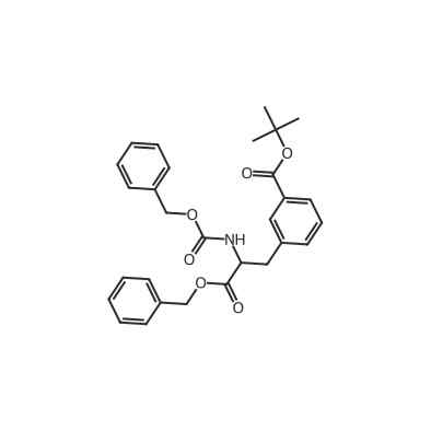 CC(C)(C)OC(=O)c1cccc(CC(NC(=O)OCc2ccccc2)C(=O)OCc2ccccc2)c1